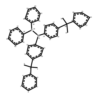 CC(C)(c1ccccc1)c1ccc(N(c2ccc(C(C)(C)c3ccccc3)cc2)P(c2ccccc2)c2ccccc2)cc1